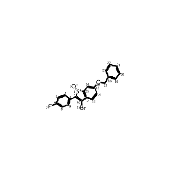 [O-][s+]1c(-c2ccc(F)cc2)c(Br)c2ccc(OCc3ccccc3)cc21